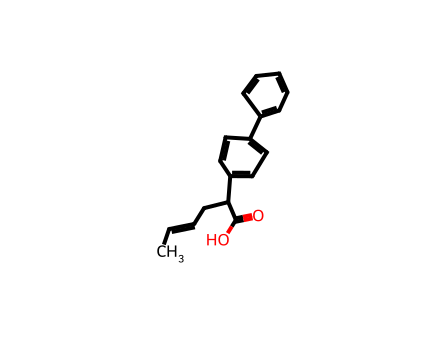 C/C=C/CC(C(=O)O)c1ccc(-c2ccccc2)cc1